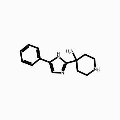 NC1(c2ncc(-c3ccccc3)[nH]2)CCNCC1